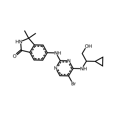 CC1(C)NC(=O)c2ccc(Nc3ncc(Br)c(NC(CO)C4CC4)n3)cc21